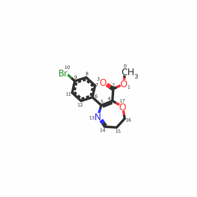 COC(=O)C1=C(c2ccc(Br)cc2)N=CCCO1